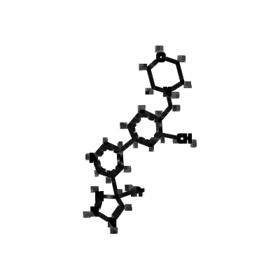 Cc1cc(-c2cncc(C3(C(C)C)C=NN=N3)c2)ccc1CN1CCOCC1